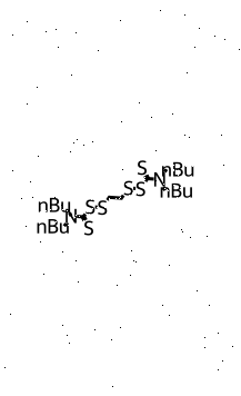 CCCCN(CCCC)C(=S)SSCCSSC(=S)N(CCCC)CCCC